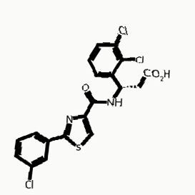 O=C(O)C[C@H](NC(=O)c1csc(-c2cccc(Cl)c2)n1)c1cccc(Cl)c1Cl